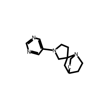 c1ncc(N2CCC3(CC4CCN3CC4)C2)cn1